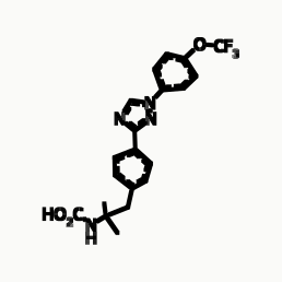 CC(C)(Cc1ccc(-c2ncn(-c3ccc(OC(F)(F)F)cc3)n2)cc1)NC(=O)O